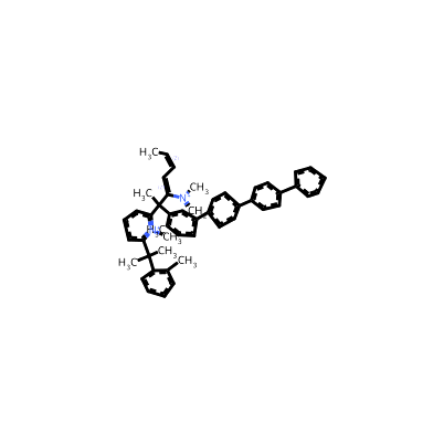 C=[N+](C)/C(=C\C=C/C)C(C)(c1cc(-c2ccc(-c3ccc(-c4ccccc4)cc3)cc2)ccc1C)c1cccc(C(C)(C)c2ccccc2C)[n+]1C